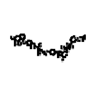 CN(CCNC(=O)NCc1ccc(Oc2cccc3c2C(=O)NC(=O)C3)cc1)CC1CCC(n2cc(NC(=O)c3coc(-c4ccnc(NCC5CC5)c4)n3)c(C(F)F)n2)CC1